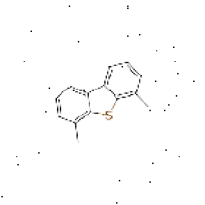 Cc1cccc2c1sc1c(C)cccc12